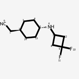 N#CC[C@H]1CC[C@H](NC2CC(F)(F)C2)CC1